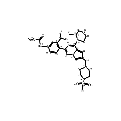 COC(=O)Nc1cc(C(F)F)c(-c2nc(N3CCOC[C@@H]3C)c3cc(CN4CCN(S(C)(=O)=O)CC4)cn3n2)cn1